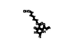 C=CC(=O)c1[nH]c(=S)[nH]c(=O)c1C(=O)OCCCCCC=O